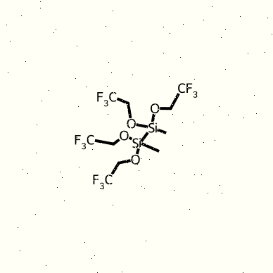 C[Si](OCC(F)(F)F)(OCC(F)(F)F)[Si](C)(OCC(F)(F)F)OCC(F)(F)F